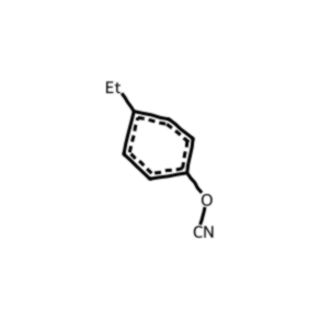 CCc1ccc(OC#N)cc1